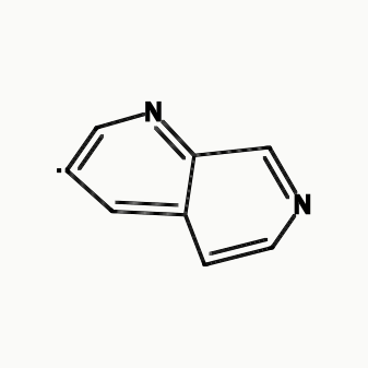 [c]1cnc2cnccc2c1